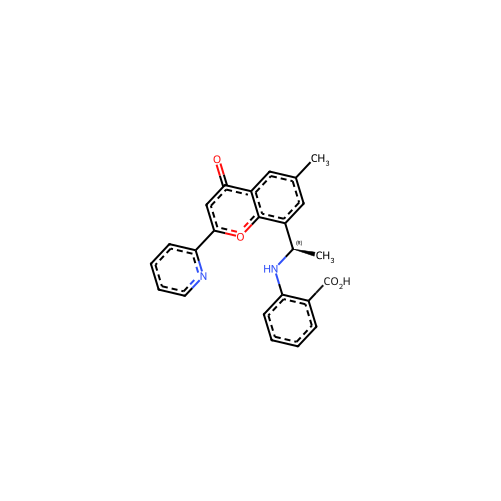 Cc1cc([C@@H](C)Nc2ccccc2C(=O)O)c2oc(-c3ccccn3)cc(=O)c2c1